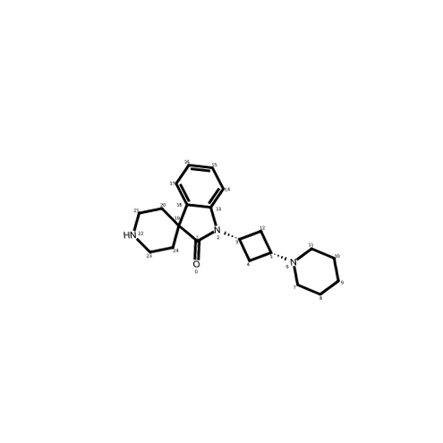 O=C1N([C@H]2C[C@@H](N3CCCCC3)C2)c2ccccc2C12CCNCC2